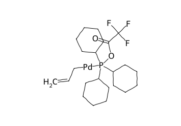 C=C[CH2][Pd][P](OC(=O)C(F)(F)F)(C1CCCCC1)(C1CCCCC1)C1CCCCC1